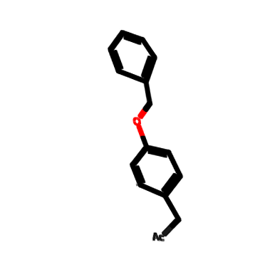 CC(=O)Cc1[c]cc(OCc2ccccc2)cc1